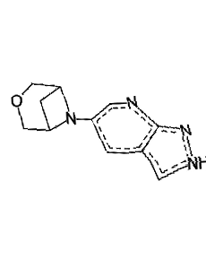 c1nc2n[nH]cc2cc1N1C2COCC1C2